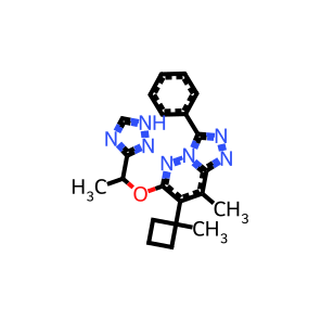 Cc1c(C2(C)CCC2)c(OC(C)c2nc[nH]n2)nn2c(-c3ccccc3)nnc12